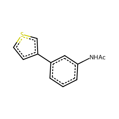 CC(=O)Nc1cccc(-c2ccsc2)c1